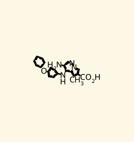 Cc1c(C(=O)O)cn2ncc(N)c(Nc3ccc(Oc4ccccc4)cc3)c12